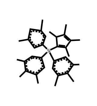 CC1=C(C)C(C)C([Si](c2cc(C)cc(C)c2)(c2cc(C)c(C)c(C)c2)c2cc(C)c(C)c(C)c2)=C1C